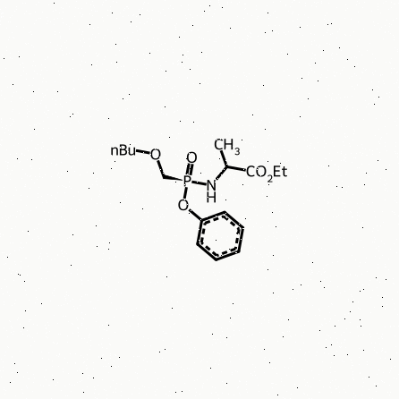 CCCCOC[P@@](=O)(NC(C)C(=O)OCC)Oc1ccccc1